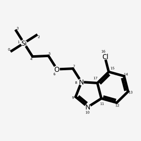 C[Si](C)(C)CCOCn1cnc2cccc(Cl)c21